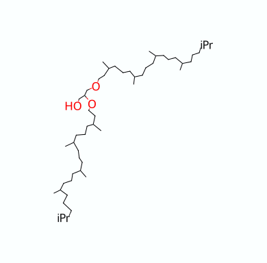 CC(C)CCCC(C)CCCC(C)CCCC(C)CCCC(C)CCOCC(CO)OCCC(C)CCCC(C)CCCC(C)CCCC(C)CCCC(C)C